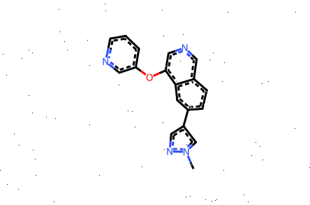 Cn1cc(-c2ccc3cncc(Oc4cccnc4)c3c2)cn1